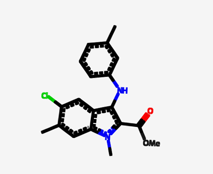 COC(=O)c1c(Nc2cccc(C)c2)c2cc(Cl)c(C)cc2n1C